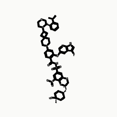 CC(C)c1ccccc1[C@@H]1COCCN1C1CC2(CCN(c3ccc(C(=O)NS(=O)(=O)c4cc5c(c([N+](=O)[O-])c4)S[C@@H](C[C@H]4CC[C@](C)(O)CC4)CO5)c(Oc4cnc5[nH]cc(F)c5c4)c3)CC2)C1